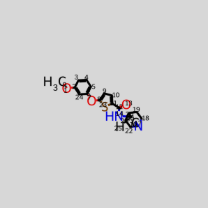 COc1cccc(Oc2ccc(C(=O)N[C@H]3CN4CCC3CC4)s2)c1